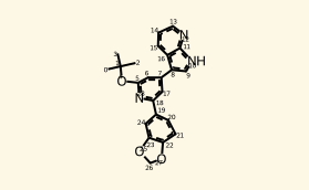 CC(C)(C)Oc1cc(-c2c[nH]c3ncccc23)cc(-c2ccc3c(c2)OCO3)n1